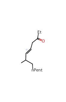 CCCCCCC(C)/C=C/CC(=O)CC